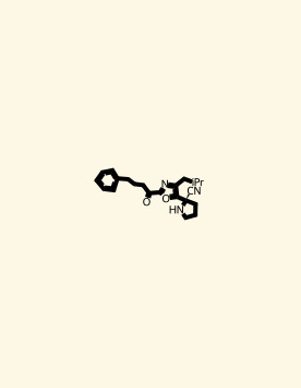 CC(C)Cc1nc(C(=O)CCCc2ccccc2)oc1[C@@]1(C#N)CCCN1